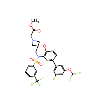 COC(=O)CN1CC2(C1)CN(S(=O)(=O)c1cccc(C(F)(F)F)c1)c1cc(-c3cc(F)cc(OC(F)F)c3)ccc1O2